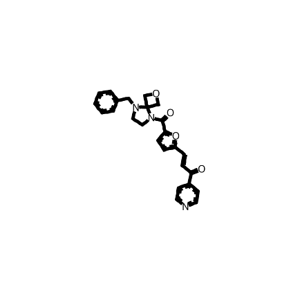 O=C(/C=C/c1ccc(C(=O)N2CCN(Cc3ccccc3)C23COC3)o1)c1ccncc1